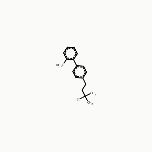 CCC(C)(C)CCc1ccc(-c2ccccc2C(=O)O)cc1